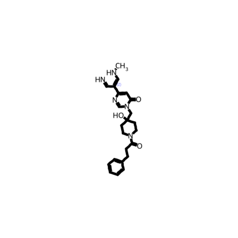 CN/C=C(\C=N)c1cc(=O)n(CC2(O)CCN(C(=O)CCc3ccccc3)CC2)cn1